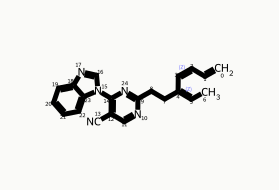 C=C/C=C\C(=C/C)CCc1ncc(C#N)c(-n2cnc3ccccc32)n1